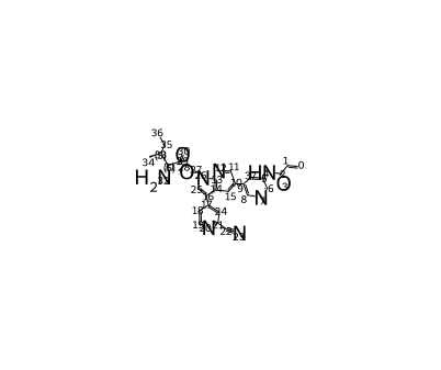 C=CC(=O)Nc1cncc(-c2cnc3c(c2)c(-c2ccnc(C#N)c2)cn3COC(=O)[C@@H](N)[C@@H](C)CC)c1